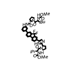 CCC(C)C(NC(=O)OC)C(=O)N1CCC[C@H]1C(=O)Nc1cccc(-c2ccc3c(c2)C(F)(F)c2cc(-c4cnc(C5CCCN5C(=O)C(NC(=O)OC)C(C)C)[nH]4)ccc2-3)c1